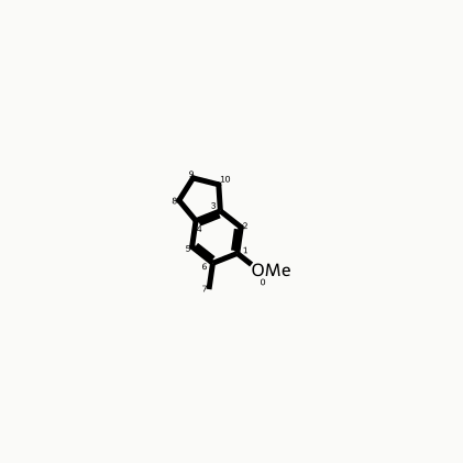 COc1cc2c(cc1C)CCC2